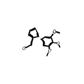 COc1cccc(OC)c1OC.ClCc1ccccc1